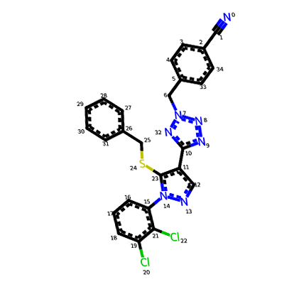 N#Cc1ccc(Cn2nnc(-c3cnn(-c4cccc(Cl)c4Cl)c3SCc3ccccc3)n2)cc1